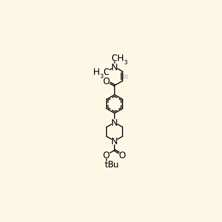 CN(C)/C=C\C(=O)c1ccc(N2CCN(C(=O)OC(C)(C)C)CC2)cc1